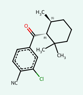 C[C@H]1CCCC(C)(C)[C@@H]1C(=O)c1ccc(C#N)c(Cl)c1